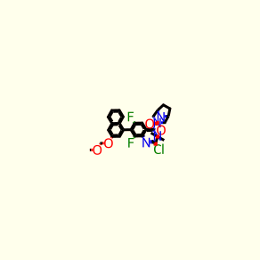 COCOc1cc(-c2c(F)cc3c(N4CC5CCC(C4)N5C(=O)OC(C)(C)C)nc(Cl)nc3c2F)c2ccccc2c1